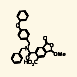 COC1OC(=O)c2cc(C(=O)N(Cc3ccccc3)Cc3ccc(Oc4ccccc4)cc3)c(C(=O)O)cc21